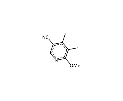 COc1ncc(C#N)c(C)c1C